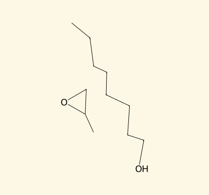 CC1CO1.CCCCCCCCO